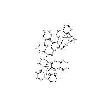 c1ccc2c(c1)Oc1c(cc(-c3ccc(-c4ccc5c(c4)C4(c6ccccc6-5)c5ccccc5-c5c4ccc4ccccc54)c4ccccc34)c3ccccc13)C21c2ccccc2-c2ccccc21